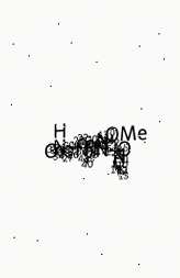 COc1cc(C(=O)N2CC3CC(C2)[C@@H](C)C3)cc2nc(-c3cc4ccc(-c5ccc6c(c5)NC(=O)C6)nc4n3CC3CC3)n(C)c12